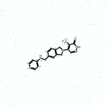 O=c1[nH]ncc(N2Cc3ccc(CNc4ccncc4)cc3C2)c1C(F)(F)F